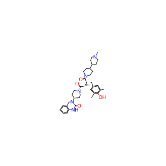 Cc1cc(C[C@H](CC(=O)N2CCC(N3Cc4ccccc4NC3=O)CC2)C(=O)N2CCC(C3CCN(C)CC3)CC2)cc(C)c1O